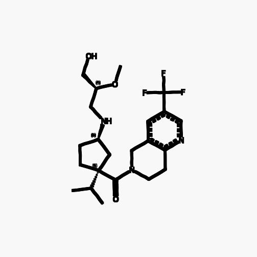 CO[C@H](CO)CN[C@@H]1CC[C@@](C(=O)N2CCc3ncc(C(F)(F)F)cc3C2)(C(C)C)C1